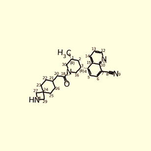 C[C@@H]1C[C@H](c2ccc(C#N)c3ncccc23)CN(C(=O)CC2CCC3(CC2)CNC3)C1